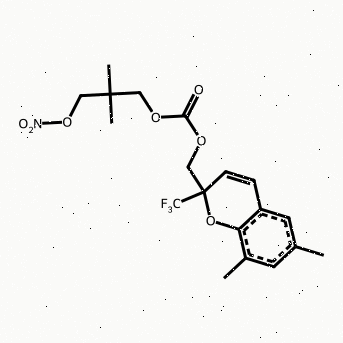 Cc1cc(C)c2c(c1)C=CC(COC(=O)OCC(C)(C)CO[N+](=O)[O-])(C(F)(F)F)O2